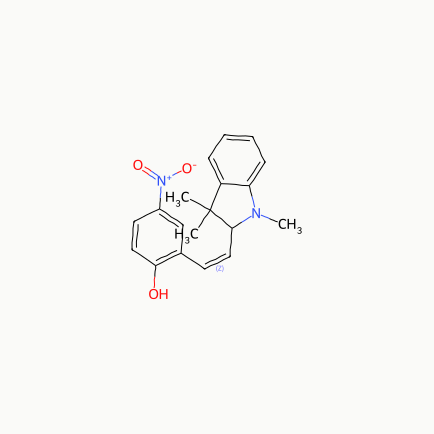 CN1c2ccccc2C(C)(C)C1/C=C\c1cc([N+](=O)[O-])ccc1O